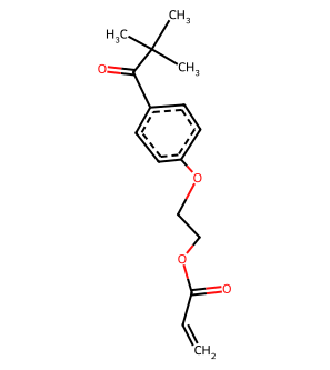 C=CC(=O)OCCOc1ccc(C(=O)C(C)(C)C)cc1